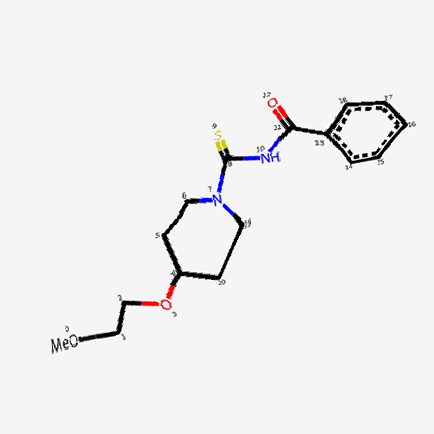 COCCOC1CCN(C(=S)NC(=O)c2ccccc2)CC1